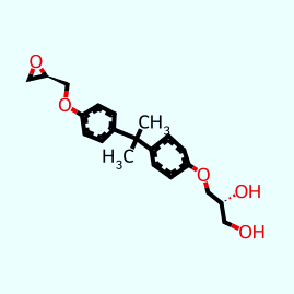 CC(C)(c1ccc(OC[C@H](O)CO)cc1)c1ccc(OC[C@H]2CO2)cc1